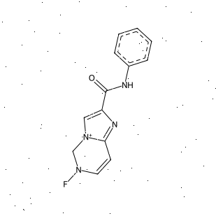 O=C(Nc1ccccc1)C1=C[N+]2CN(F)C=CC2=N1